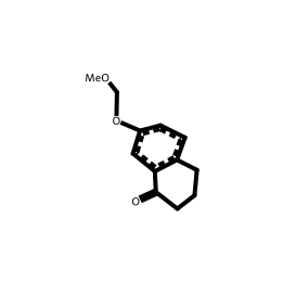 COCOc1ccc2c(c1)C(=O)CCC2